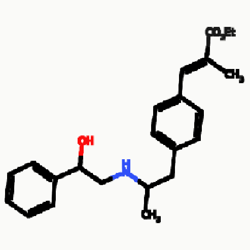 CCOC(=O)/C(C)=C/c1ccc(CC(C)NCC(O)c2ccccc2)cc1